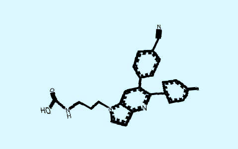 Cc1ccc(-c2nc3ccn(CCCNC(=O)O)c3cc2-c2ccc(C#N)cc2)cc1